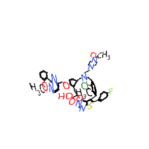 COc1ccccc1-c1nccc(COc2ccc3cc2CC(C(=O)O)Oc2ncnc4sc(-c5ccc(F)cc5)c(c24)-c2ccc(c(Cl)c2C)CN(CCN2CCN(C(C)=O)CC2)C3)n1